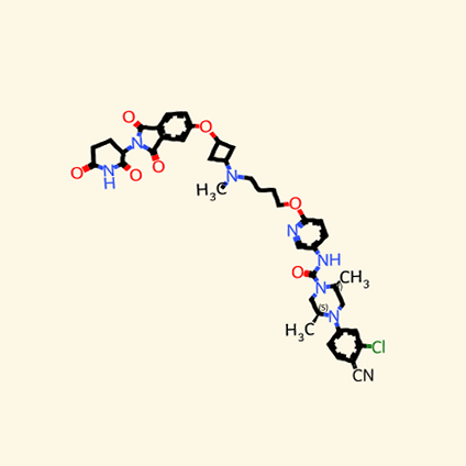 C[C@@H]1CN(c2ccc(C#N)c(Cl)c2)[C@@H](C)CN1C(=O)Nc1ccc(OCCCCN(C)C2CC(Oc3ccc4c(c3)C(=O)N(C3CCC(=O)NC3=O)C4=O)C2)nc1